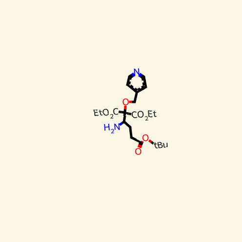 CCOC(=O)C(OCc1ccncc1)(C(=O)OCC)C(N)CCC(=O)OC(C)(C)C